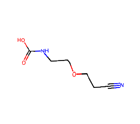 N#CCCOCCNC(=O)O